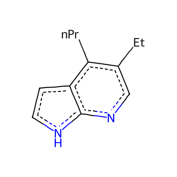 CCCc1c(CC)cnc2[nH]ccc12